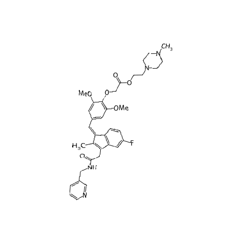 COc1cc(/C=C2/C(C)=C(CC(=O)NCc3cccnc3)c3cc(F)ccc32)cc(OC)c1OCC(=O)OCCN1CCN(C)CC1